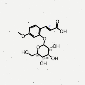 COc1ccc(/C=C/C(=O)O)c(OC2O[C@H](CO)[C@@H](O)[C@H](O)[C@H]2O)c1